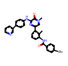 Cc1c(NC(=O)c2ccc(C(C)(C)C)cc2)cccc1-c1cn(C)c(=O)c(Nc2ccc(-c3cccnc3)cc2)n1